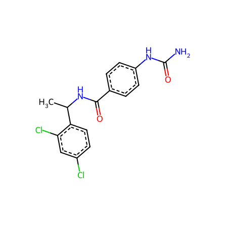 CC(NC(=O)c1ccc(NC(N)=O)cc1)c1ccc(Cl)cc1Cl